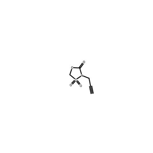 C#CCN1C(=O)OCS1(=O)=O